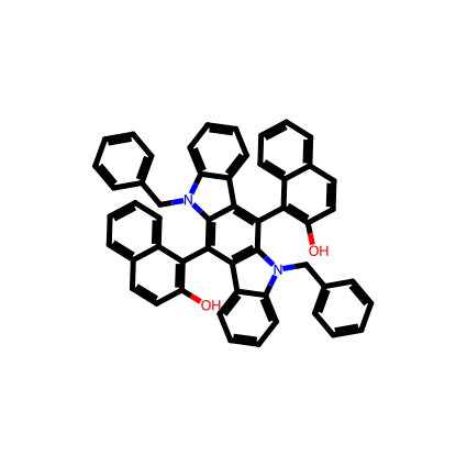 Oc1ccc2ccccc2c1-c1c2c3ccccc3n(Cc3ccccc3)c2c(-c2c(O)ccc3ccccc23)c2c3ccccc3n(Cc3ccccc3)c12